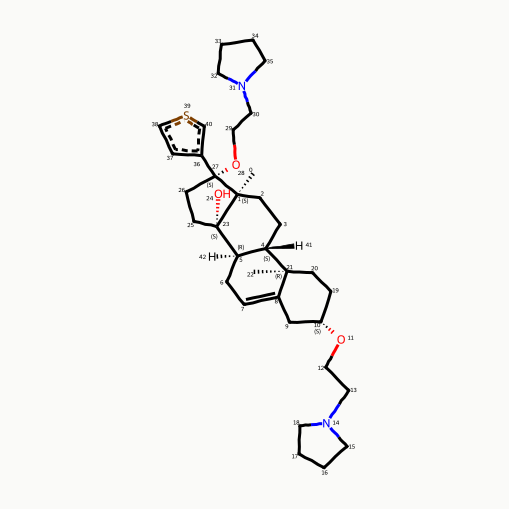 C[C@]12CC[C@H]3[C@@H](CC=C4C[C@@H](OCCN5CCCC5)CC[C@@]43C)[C@@]1(O)CC[C@@]2(OCCN1CCCC1)c1ccsc1